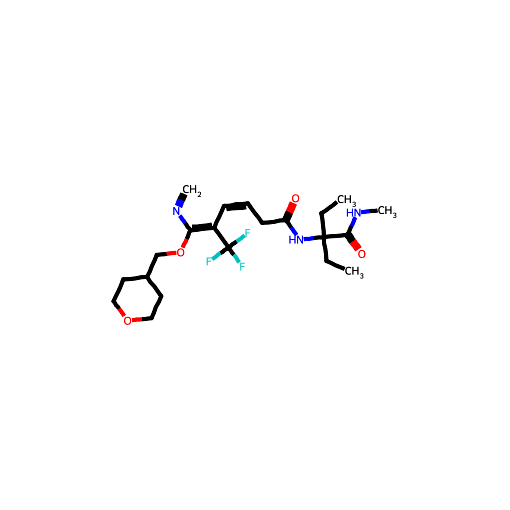 C=N/C(OCC1CCOCC1)=C(\C=C/CC(=O)NC(CC)(CC)C(=O)NC)C(F)(F)F